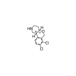 Clc1ccc2c(c1Cl)CO[C@H]1CCNC[C@@H]21